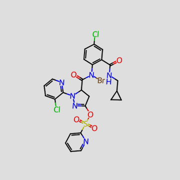 O=C(NCC1CC1)c1cc(Cl)ccc1N(Br)C(=O)C1CC(OS(=O)(=O)c2ccccn2)=NN1c1ncccc1Cl